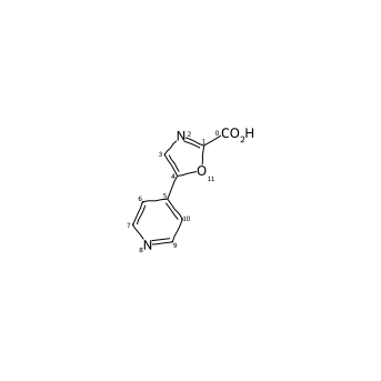 O=C(O)c1ncc(-c2ccncc2)o1